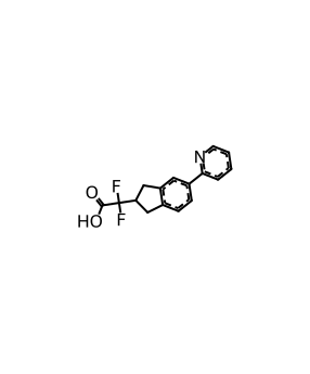 O=C(O)C(F)(F)C1Cc2ccc(-c3ccccn3)cc2C1